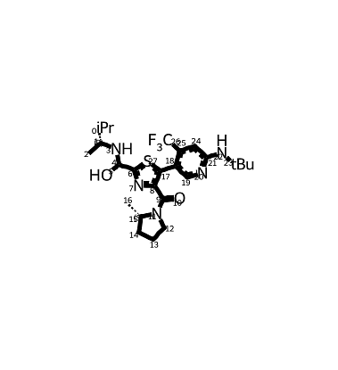 CC(C)[C@@H](C)NC(O)c1nc(C(=O)N2CCC[C@@H]2C)c(-c2cnc(NC(C)(C)C)cc2C(F)(F)F)s1